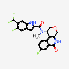 CN(C(=O)c1cc2cc(F)c(C(F)F)cc2[nH]1)[C@@H]1COCc2[nH]c(=O)c3cc(F)ccc3c21